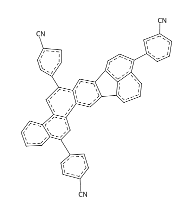 N#Cc1ccc(-c2cc3c4cc5c(cc4c(-c4ccc(C#N)cc4)cc3c3ccccc23)-c2ccc(-c3cccc(C#N)c3)c3cccc-5c23)cc1